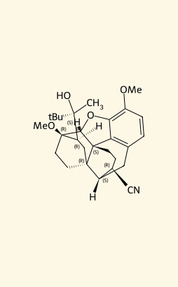 COc1ccc2c3c1O[C@H]1[C@@]4(OC)CC[C@@]5(C[C@@H]4[C@](C)(O)C(C)(C)C)[C@@H](C2)[C@H](C#N)CC[C@]315